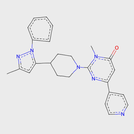 Cc1cc(C2CCN(c3nc(-c4ccncc4)cc(=O)n3C)CC2)n(-c2ccccc2)n1